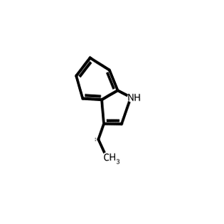 C[C]c1c[nH]c2ccccc12